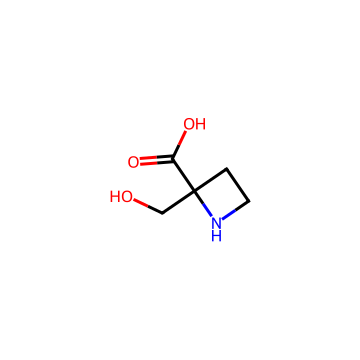 O=C(O)C1(CO)CCN1